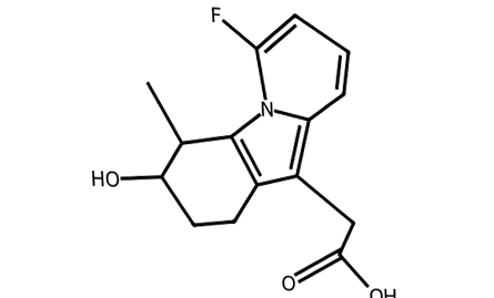 CC1c2c(c(CC(=O)O)c3cccc(F)n23)CCC1O